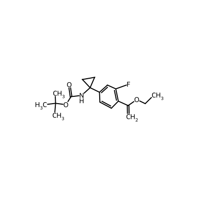 C=C(OCC)c1ccc(C2(NC(=O)OC(C)(C)C)CC2)cc1F